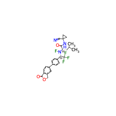 CC(C)C[C@@H](C(=O)NC1(C#N)CC1)N(F)[C@@H](c1ccc(-c2ccc3c(c2)COC3=O)cc1)C(F)(F)F